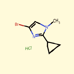 Cl.Cn1cc(Br)nc1C1CC1